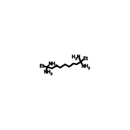 CCC(N)(N)CCCCCCCC(N)(N)CC